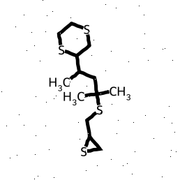 CC(CC(C)(C)SCC1CS1)C1CSCCS1